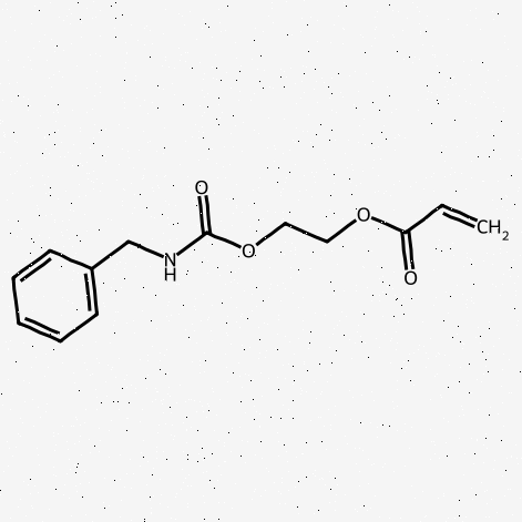 C=CC(=O)OCCOC(=O)NCc1ccccc1